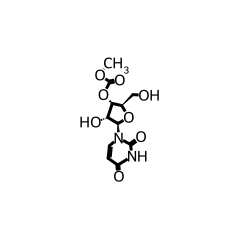 COC(=O)O[C@H]1[C@@H](O)[C@H](n2ccc(=O)[nH]c2=O)O[C@@H]1CO